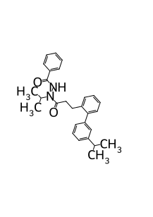 CC(C)c1cccc(-c2ccccc2CCC(=O)N(NC(=O)c2ccccc2)C(C)C)c1